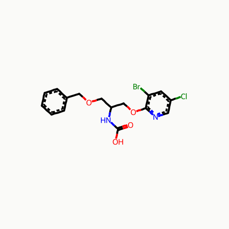 O=C(O)NC(COCc1ccccc1)COc1ncc(Cl)cc1Br